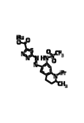 CCC(C)OC(=O)c1nnc(N=Nc2cc3c(cc2NS(=O)(=O)C(F)(F)F)N(C(C)C)C(C)CC3)s1